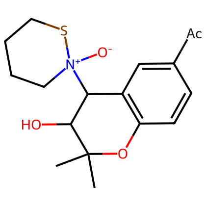 CC(=O)c1ccc2c(c1)C([N+]1([O-])CCCCS1)C(O)C(C)(C)O2